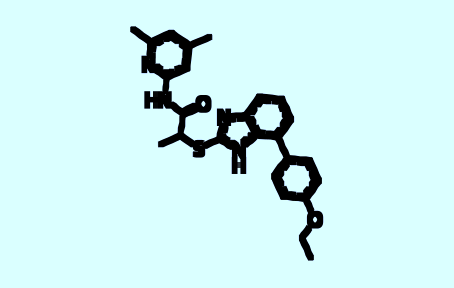 CCOc1ccc(-c2cccc3nc(SC(C)C(=O)Nc4cc(C)cc(C)n4)[nH]c23)cc1